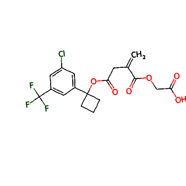 C=C(CC(=O)OC1(c2cc(Cl)cc(C(F)(F)F)c2)CCC1)C(=O)OCC(=O)O